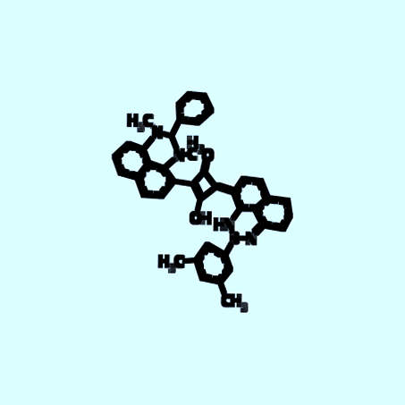 Cc1cc(C)cc(B2N=c3cccc4cc/c(=C5\C(=O)C(c6ccc7cccc8c7c6N(C)C(c6ccccc6)N8C)=C5O)c(c34)N2)c1